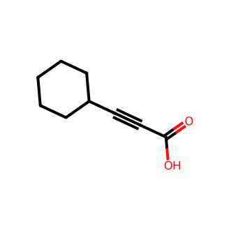 O=C(O)C#CC1CCCCC1